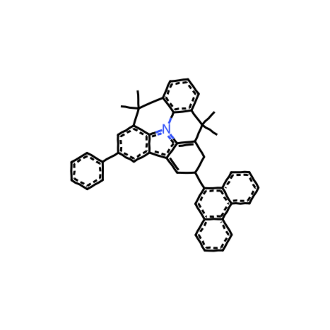 CC1(C)C2=c3c(c4cc(-c5ccccc5)cc5c4n3-c3c1cccc3C5(C)C)=CC(c1cc3ccccc3c3ccccc13)C2